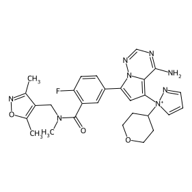 Cc1noc(C)c1CN(C)C(=O)c1cc(-c2cc([N+]3(C4CCOCC4)C=CC=N3)c3c(N)ncnn23)ccc1F